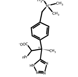 CCCC(C(=O)[O-])[C@@](C)(c1ccc(C[N+](C)(C)C)cc1)c1nnn[nH]1